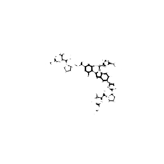 C=C(NC[C@@H]1CCCN1C(=O)[C@@H](NC(=O)OC)C(C)C)c1cc(F)c2c(c1)OC(c1nnc(CC)s1)n1c-2cc2cc(-c3cnc([C@@H]4CCCN4C(=O)C(NC(=O)OC)C(C)C)[nH]3)ccc21